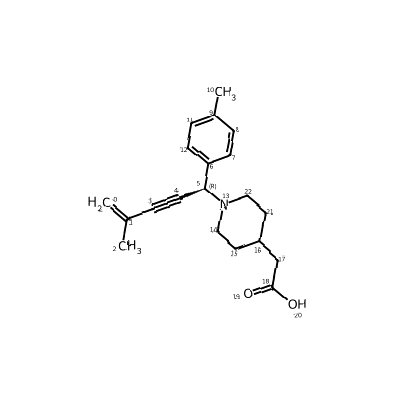 C=C(C)C#C[C@@H](c1ccc(C)cc1)N1CCC(CC(=O)O)CC1